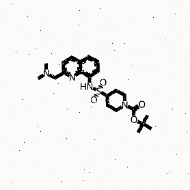 CN(C)Cc1ccc2cccc(NS(=O)(=O)C3CCN(C(=O)OC(C)(C)C)CC3)c2n1